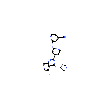 COc1cncc2nc(-c3ccnc(Nc4cc(C#N)ccn4)c3)nc(N[C@@H]3CCNC3)c12